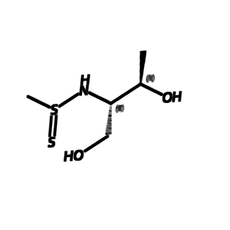 C[C@@H](O)[C@H](CO)NS(C)=S